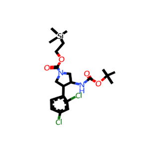 CC(C)(C)OC(=O)NC1CN(C(=O)OCC[Si](C)(C)C)CC1c1ccc(Cl)cc1Cl